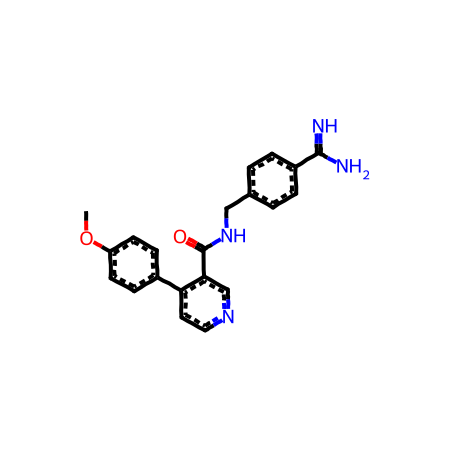 COc1ccc(-c2ccncc2C(=O)NCc2ccc(C(=N)N)cc2)cc1